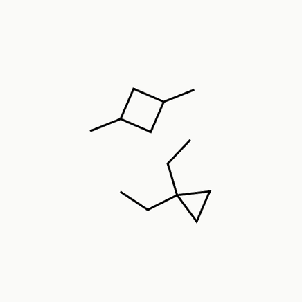 CC1CC(C)C1.CCC1(CC)CC1